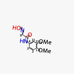 COc1ccc(NC(=O)C=NO)cc1OC